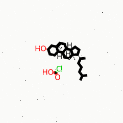 CC(C)CCCC(C)[C@H]1CC[C@H]2[C@@H]3CC=C4C[C@@H](O)CC[C@]4(C)[C@H]3CC[C@]12C.O=C(O)Cl